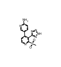 CS(=O)(=O)c1nccc(-c2ccc(N)nc2)c1-c1nn[nH]n1